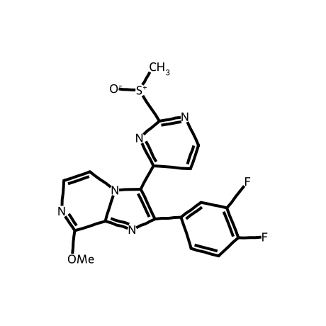 COc1nccn2c(-c3ccnc([S+](C)[O-])n3)c(-c3ccc(F)c(F)c3)nc12